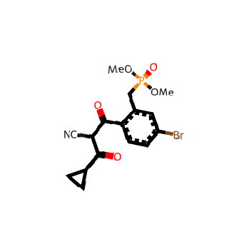 COP(=O)(Cc1cc(Br)ccc1C(=O)C(C#N)C(=O)C1CC1)OC